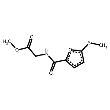 COC(=O)CNC(=O)c1ccc(SC)o1